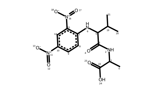 CC(NC(=O)C(Nc1ccc([N+](=O)[O-])cc1[N+](=O)[O-])C(C)C)C(=O)O